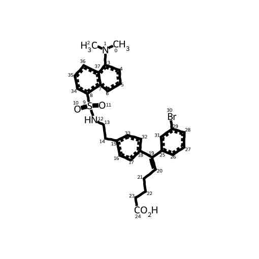 CN(C)c1cccc2c(S(=O)(=O)NCCc3ccc(/C(=C\CCCC(=O)O)c4cccc(Br)c4)cc3)cccc12